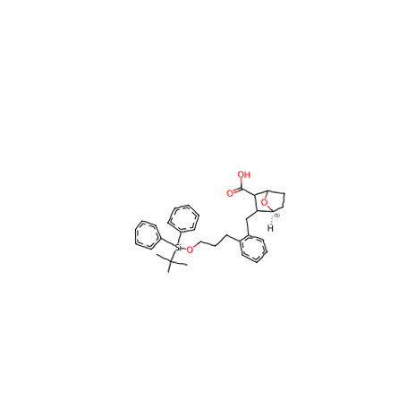 CC(C)(C)[Si](OCCCc1ccccc1CC1C(C(=O)O)C2CC[C@@H]1O2)(c1ccccc1)c1ccccc1